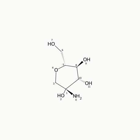 N[C@@]1(O)CO[C@H](CO)[C@@H](O)[C@@H]1O